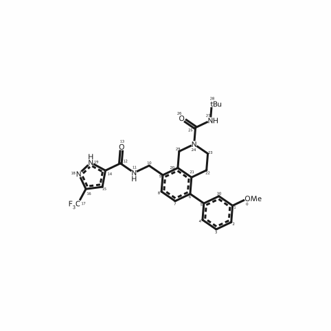 COc1cccc(-c2ccc(CNC(=O)c3cc(C(F)(F)F)n[nH]3)c3c2CCN(C(=O)NC(C)(C)C)C3)c1